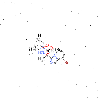 CC(C)(C)OC(=O)N1C[C@H]2C[C@@H](C1)C2C(=O)NC(C)(C)c1ncc2c(Br)cccn12